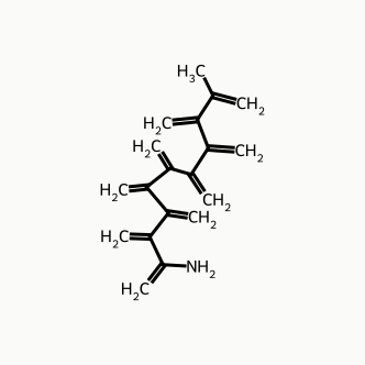 C=C(C)C(=C)C(=C)C(=C)C(=C)C(=C)C(=C)C(=C)C(=C)N